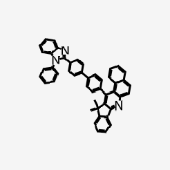 CC1(C)c2ccccc2-c2nc3ccc4ccccc4c3c(-c3ccc(-c4ccc(-c5nc6ccccc6n5-c5ccccc5)cc4)cc3)c21